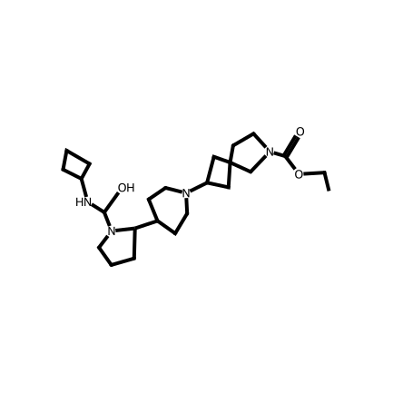 CCOC(=O)N1CCC2(CC(N3CCC(C4CCCN4C(O)NC4CCC4)CC3)C2)C1